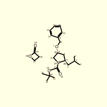 CC(C)C[C@@H]1C[C@@H](OCc2ccccc2)CN1C(=O)OC(C)(C)C.O=C1CCO1